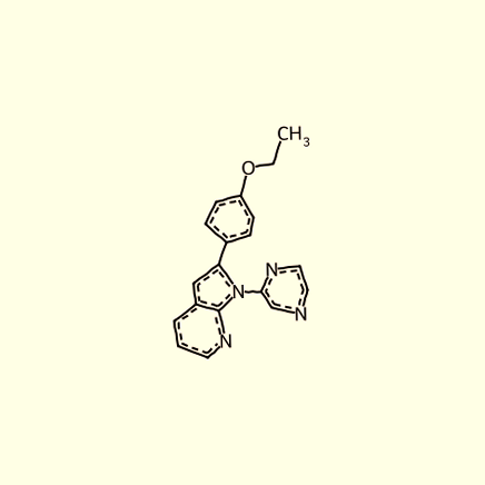 CCOc1ccc(-c2cc3cccnc3n2-c2cnccn2)cc1